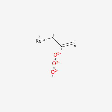 C=C[CH2][Re+6].[O-2].[O-2].[O-2]